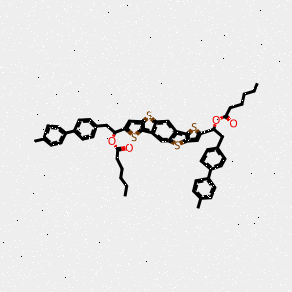 CCCCCC(=O)OC(Cc1ccc(-c2ccc(C)cc2)cc1)c1cc2sc3cc4c(cc3c2s1)sc1cc(C(Cc2ccc(-c3ccc(C)cc3)cc2)OC(=O)CCCCC)sc14